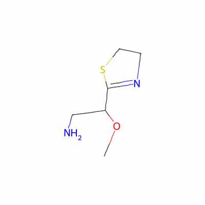 COC(CN)C1=NCCS1